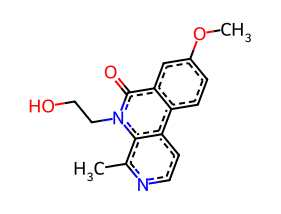 COc1ccc2c(c1)c(=O)n(CCO)c1c(C)nccc21